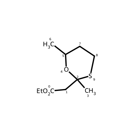 CCOC(=O)CC1(C)OC(C)CCS1